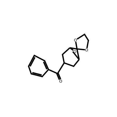 O=C(c1ccccc1)C1CC2COC(C1)C21OCCO1